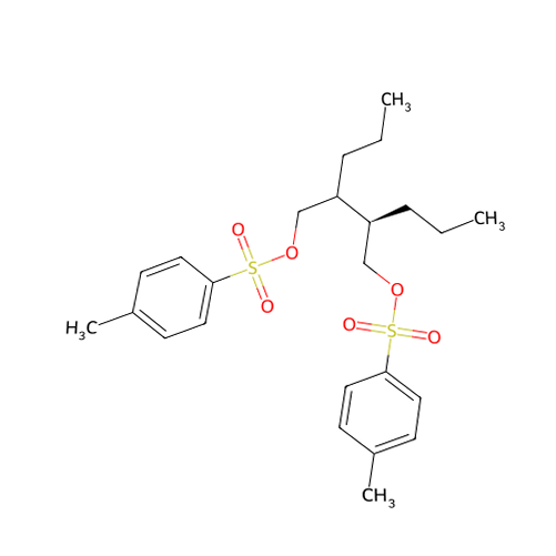 CCCC(COS(=O)(=O)c1ccc(C)cc1)[C@@H](CCC)COS(=O)(=O)c1ccc(C)cc1